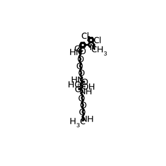 CNCCOCCOCCOCCNC(=O)[C@H](O)[C@H](O)C(=O)NCCOCCOCCOCCNS(=O)(=O)c1cccc(C2CN(C)Cc3c(Cl)cc(Cl)cc32)c1